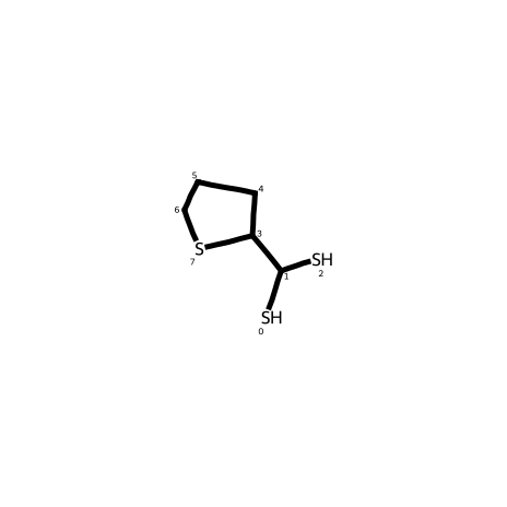 SC(S)C1CCCS1